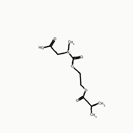 CC(C)C(=O)OCCOC(=O)N(C)CC(=O)O